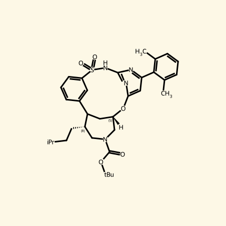 Cc1cccc(C)c1-c1cc2nc(n1)NS(=O)(=O)c1cccc(c1)C1C[C@@H](CN(C(=O)OC(C)(C)C)C[C@@H]1CCC(C)C)O2